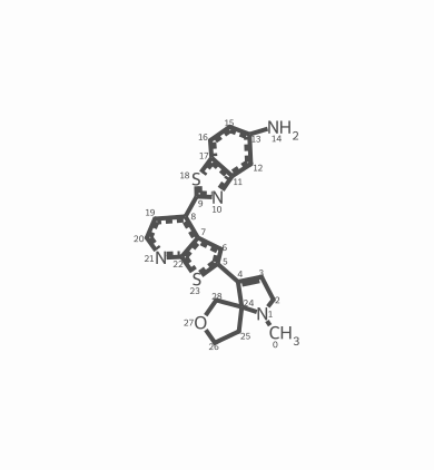 CN1CC=C(c2cc3c(-c4nc5cc(N)ccc5s4)ccnc3s2)C12CCOC2